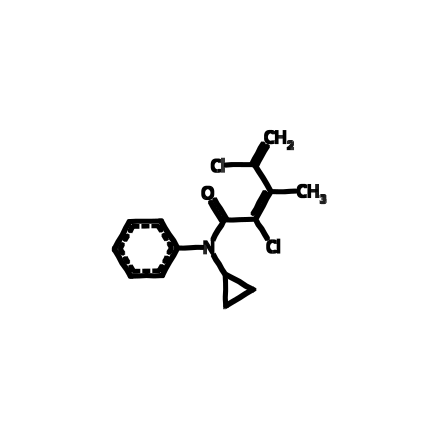 C=C(Cl)C(C)=C(Cl)C(=O)N(c1ccccc1)C1CC1